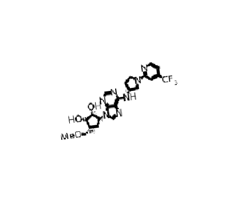 COC[C@H]1C[C@@H](n2cnc3c(N[C@H]4CCN(c5cc(C(F)(F)F)ccn5)C4)ncnc32)[C@@H](O)[C@H]1O